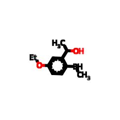 CBc1ccc(OCC)cc1C(C)O